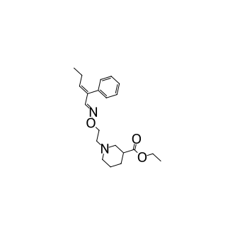 CCC=C(C=NOCCN1CCCC(C(=O)OCC)C1)c1ccccc1